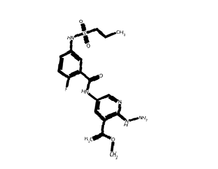 C=C(OC)c1cc(NC(=O)c2cc(NS(=O)(=O)CCC)ccc2F)cnc1NN